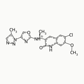 COc1cc2[nH]c(=O)c([C@H](C)Nc3nc(-n4nncc4C)co3)cc2cc1Cl